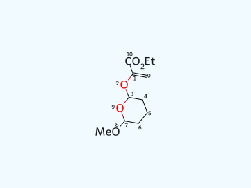 C=C(OC1CCCC(OC)O1)C(=O)OCC